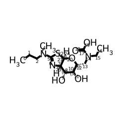 CCCN(C)C1=N[C@@H]2[C@@H](O)[C@H](O)[C@@H](CN(CC)C(=O)O)O[C@@H]2S1